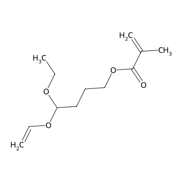 C=COC(CCCOC(=O)C(=C)C)OCC